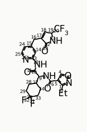 CCc1nocc1C(=O)N[C@H](C(=O)Nc1cc(CC2=CC(C(F)(F)F)NC2=O)ccn1)C1CCC(F)(F)CC1